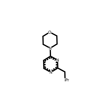 CC(C)Cc1nccc(N2CCOCC2)n1